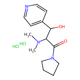 CN(C)C(C(=O)N1CCCC1)C(O)c1ccncc1.Cl.Cl